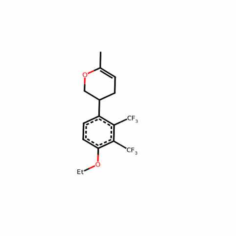 CCOc1ccc(C2CC=C(C)OC2)c(C(F)(F)F)c1C(F)(F)F